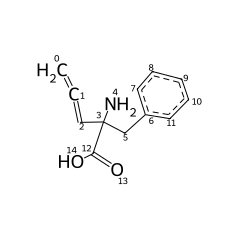 C=C=CC(N)(Cc1ccccc1)C(=O)O